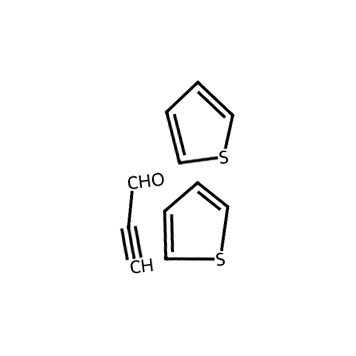 C#CC=O.c1ccsc1.c1ccsc1